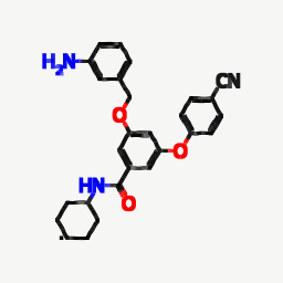 N#Cc1ccc(Oc2cc(OCc3cccc(N)c3)cc(C(=O)NC3CC[CH]CC3)c2)cc1